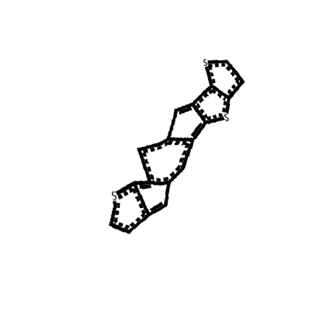 C1=c2ccsc2=c2cc3c(cc21)=c1sc2ccsc2c1=C3